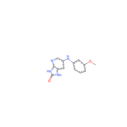 COc1cccc(Nc2cnc3[nH]c(=O)[nH]c3c2)c1